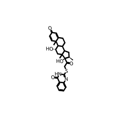 C[C@@H]1CC2C3CCC4=CC(=O)C=CC4(C)C3[C@@H](O)CC2(C)[C@@]1(O)C(=O)CSc1nc2ccccc2c(=O)[nH]1